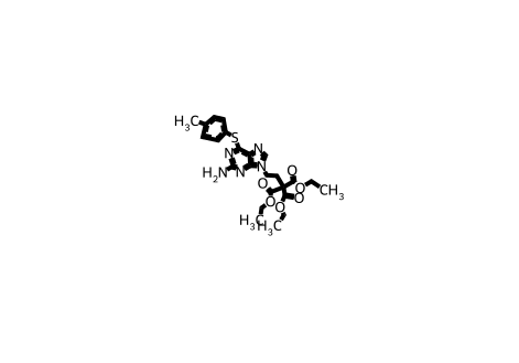 CCOC(=O)C(CCn1cnc2c(Sc3ccc(C)cc3)nc(N)nc21)(C(=O)OCC)C(=O)OCC